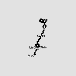 COCCOCOc1c(OC)cc(C=CC=CC(=O)NCCCCN2CCC(c3c[nH]c4ccccc34)CC2)cc1OC